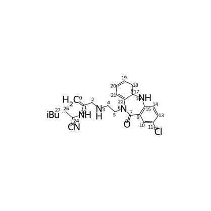 C=C(CNCCN1C(=O)c2cc(Cl)ccc2Nc2ccccc21)NC(C#N)C[C@@H](C)CC